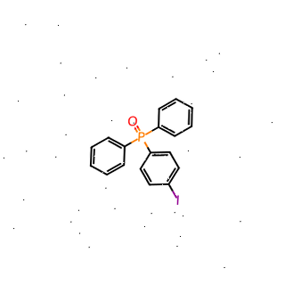 O=P(c1ccccc1)(c1ccccc1)c1ccc(I)cc1